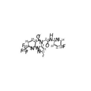 Cc1cc2n(CC(=O)Nc3ccc(F)cn3)c(=O)c3ccc(C(F)(F)F)nc3n2n1